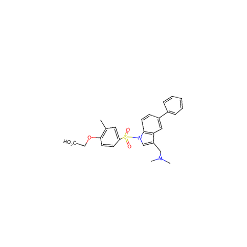 Cc1cc(S(=O)(=O)n2cc(CN(C)C)c3cc(-c4ccccc4)ccc32)ccc1OCC(=O)O